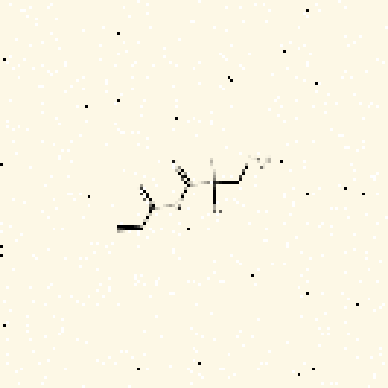 C=CC(=O)OC(=O)C(C)(CC)CC(=O)O